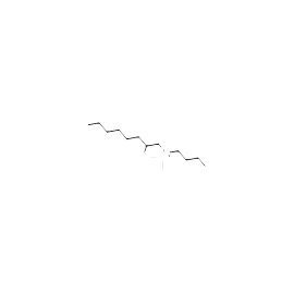 CCCCCCC(O)CNCCCC